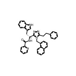 O=C(N[C@H](Cc1c[nH]c2ccccc12)c1nnc(CCc2ccccc2)n1Cc1cccc2ccccc12)c1ccccn1